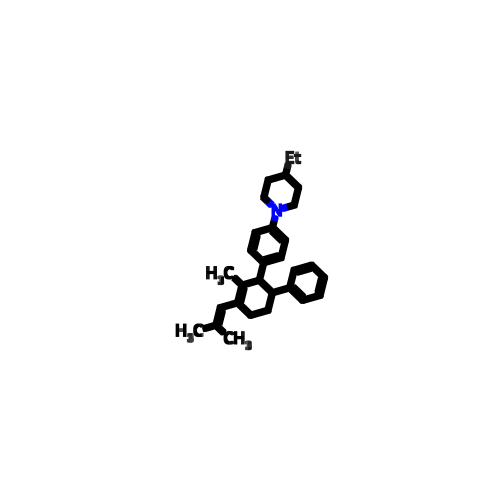 CCC1CCN(c2ccc(C3C(C)=C(C=C(C)C)CCC3c3ccccc3)cc2)CC1